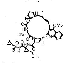 C=C[C@@H]1C[C@]1(NC(=O)[C@@H]1C[C@@H]2CN1C(=O)[C@H](C(C)(C)C)NC(=O)O[C@@H]1CCC[C@H]1CC/C=C/Cc1c(nc3ccccc3c1OC)O2)C(=O)NS(=O)(=O)C1CC1